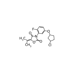 CC(C)=C1OC(=O)N(c2cc(OC3CCC(Cl)C3)ccc2F)C1=O